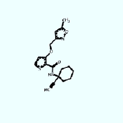 C#CC1(NC(=O)c2sccc2OCc2cc(C)on2)CCCCC1